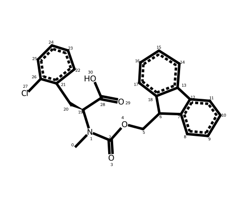 CN(C(=O)OCC1c2ccccc2-c2ccccc21)[C@@H](Cc1ccccc1Cl)C(=O)O